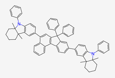 CC12CCCCC1(C)N(c1ccccc1)c1ccc(-c3ccc4c(c3)C(c3ccccc3)(c3ccccc3)c3cc(-c5ccc6c(c5)C5(C)CCCCC5(C)N6c5ccccc5)c5ccccc5c3-4)cc12